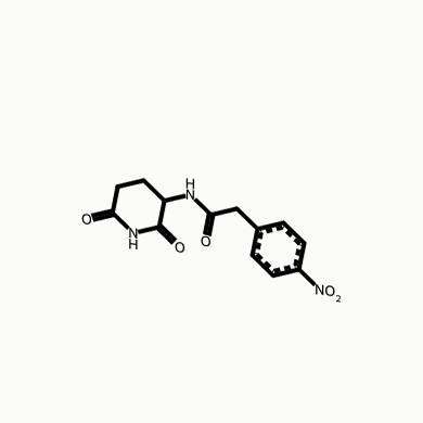 O=C1CCC(NC(=O)Cc2ccc([N+](=O)[O-])cc2)C(=O)N1